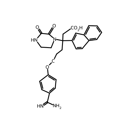 N=C(N)c1ccc(OCCCC(CC(=O)O)(c2ccc3ccccc3c2)N2CCNC(=O)C2=O)cc1